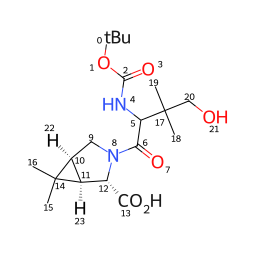 CC(C)(C)OC(=O)NC(C(=O)N1C[C@H]2[C@@H]([C@H]1C(=O)O)C2(C)C)C(C)(C)CO